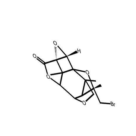 CC12COC3C4OC(=O)[C@@]56O[C@@H]5C1(O[C@](C)(CBr)C32)C46C